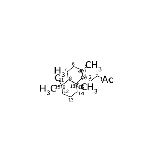 CC(=O)CC[C@H]1[C@@H](C)CCC2C(C)(C)CCC[C@@]21C